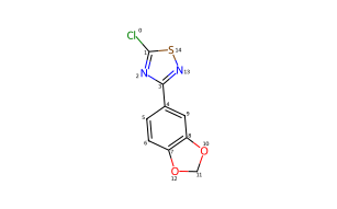 Clc1nc(-c2ccc3c(c2)OCO3)ns1